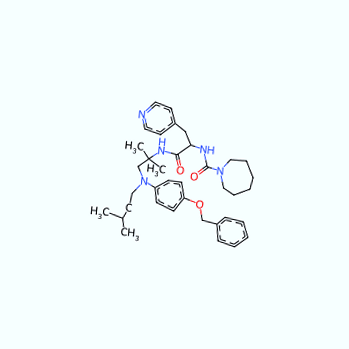 CC(C)CCN(CC(C)(C)NC(=O)C(Cc1ccncc1)NC(=O)N1CCCCCC1)c1ccc(OCc2ccccc2)cc1